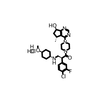 CO[C@H]1CC[C@H](NC[C@@H](C(=O)N2CCN(c3ncnc4c3[C@H](C)C[C@H]4O)CC2)c2ccc(Cl)c(F)c2)CC1.Cl.Cl